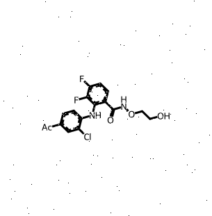 CC(=O)c1ccc(Nc2c(C(=O)NOCCO)ccc(F)c2F)c(Cl)c1